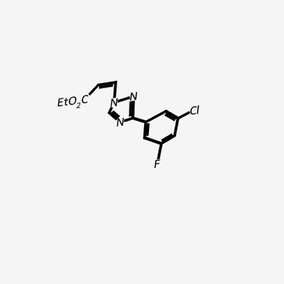 CCOC(=O)/C=C\n1cnc(-c2cc(F)cc(Cl)c2)n1